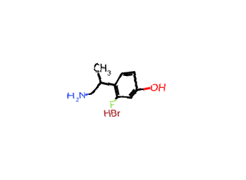 Br.CC(CN)c1ccc(O)cc1F